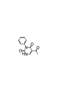 CC(=O)c1c[nH]c(=O)n(-c2ccccc2)c1=O